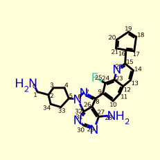 NCC1CCC(n2nc(-c3ccc4ccc(-c5ccccc5)nc4c3F)c3c(N)ncnc32)CC1